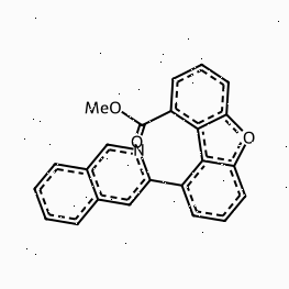 COC(=O)c1cccc2oc3cccc(-c4cc5ccccc5cn4)c3c12